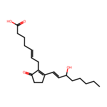 CCCCCC(O)/C=C/C1=C(C/C=C/CCCC(=O)O)C(=O)CC1